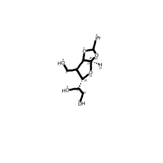 CC(C)C1OC2C(CO)[C@@H](C(O)CO)O[C@@H]2O1